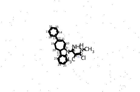 CN/C(Cl)=C(/C)C(=N)N1C2=CC=C(c3ccccc3)CCC2c2ccccc21